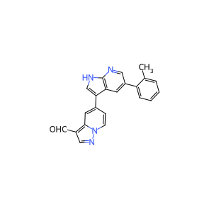 Cc1ccccc1-c1cnc2[nH]cc(-c3ccn4ncc(C=O)c4c3)c2c1